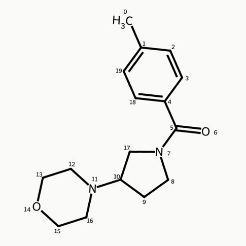 Cc1ccc(C(=O)N2CCC(N3CCOCC3)C2)cc1